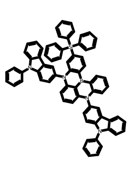 c1ccc(-n2c3ccccc3c3cc(N4c5ccccc5B5c6ccc([Si](c7ccccc7)(c7ccccc7)c7ccccc7)cc6N(c6ccc7c(c6)c6ccccc6n7-c6ccccc6)c6cccc4c65)ccc32)cc1